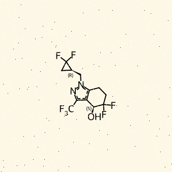 O[C@H]1c2c(C(F)(F)F)nn(C[C@H]3CC3(F)F)c2CCC1(F)F